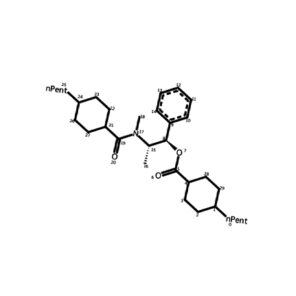 CCCCCC1CCC(C(=O)O[C@H](c2ccccc2)[C@H](C)N(C)C(=O)C2CCC(CCCCC)CC2)CC1